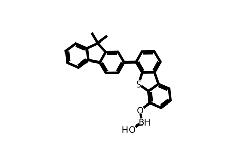 CC1(C)c2ccccc2-c2ccc(-c3cccc4c3sc3c(OBO)cccc34)cc21